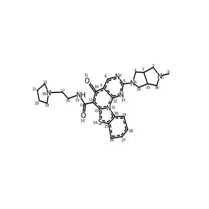 CN1CC2CN(c3ncc4c(=O)c(C(=O)NCCN5CCCC5)c5sc6ccccc6n5c4n3)CC2C1